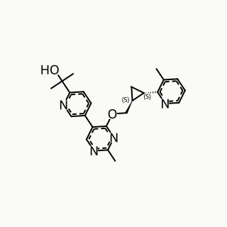 Cc1ncc(-c2ccc(C(C)(C)O)nc2)c(OC[C@H]2C[C@@H]2c2ncccc2C)n1